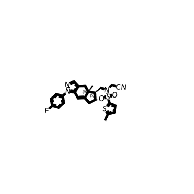 Cc1ccc(S(=O)(=O)N(CC#N)C[C@H]2CCC3=Cc4c(cnn4-c4ccc(F)cc4)C[C@@]32C)s1